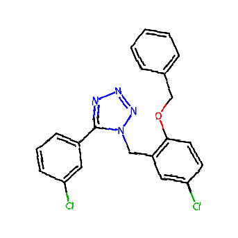 Clc1cccc(-c2nnnn2Cc2cc(Cl)ccc2OCc2ccccc2)c1